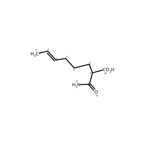 CC=CCCCC(C(N)=O)C(=O)O